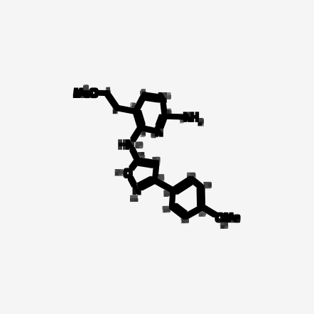 COCCc1cnc(N)nc1Nc1cc(-c2ccc(OC)cc2)no1